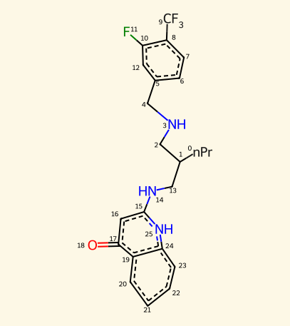 CCCC(CNCc1ccc(C(F)(F)F)c(F)c1)CNc1cc(=O)c2ccccc2[nH]1